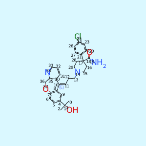 CC(C)(O)c1ccc2c(c1)/C(=C/CCN1CCC(C(N)=O)(c3ccc(Cl)cc3)CC1)C1C=CC=NC1CO2